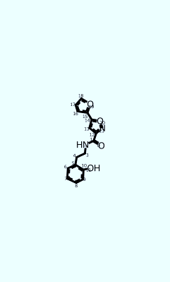 O=C(NCCc1ccccc1O)c1cc(-c2ccco2)on1